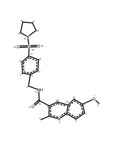 COc1ccc2nc(C)c(C(=O)NCc3ccc(S(=O)(=O)N4CCCC4)cc3)cc2c1